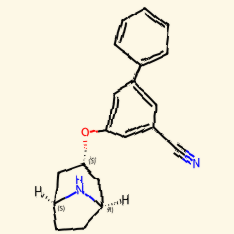 N#Cc1cc(O[C@@H]2C[C@H]3CC[C@@H](C2)N3)cc(-c2ccccc2)c1